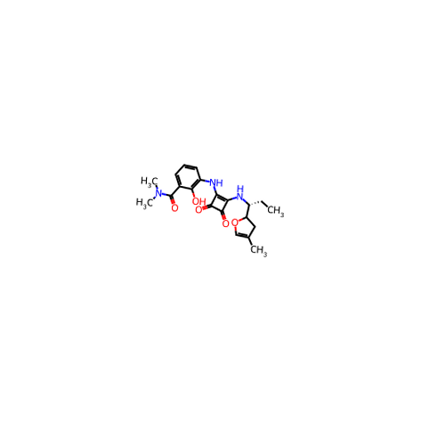 CC[C@@H](Nc1c(Nc2cccc(C(=O)N(C)C)c2O)c(=O)c1=O)C1CC(C)=CO1